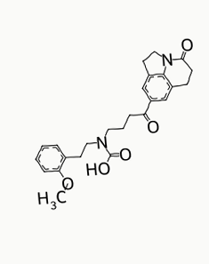 COc1ccccc1CCN(CCCC(=O)c1cc2c3c(c1)CCN3C(=O)CC2)C(=O)O